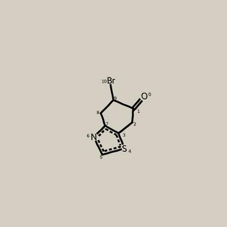 O=C1Cc2scnc2CC1Br